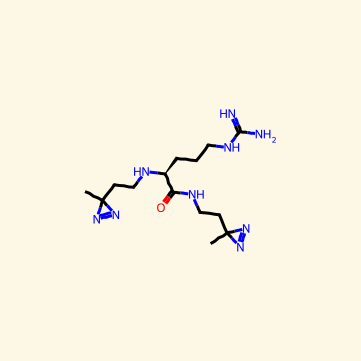 CC1(CCNC(=O)[C@H](CCCNC(=N)N)NCCC2(C)N=N2)N=N1